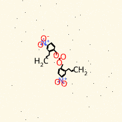 C=CCc1cc([N+](=O)[O-])ccc1COC(=O)OCc1ccc([N+](=O)[O-])cc1CC=C